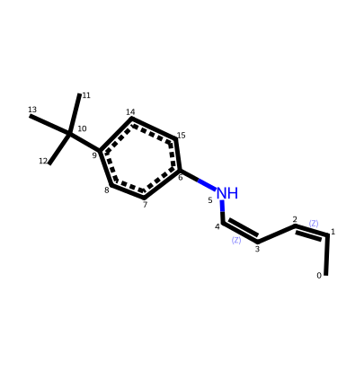 C/C=C\C=C/Nc1ccc(C(C)(C)C)cc1